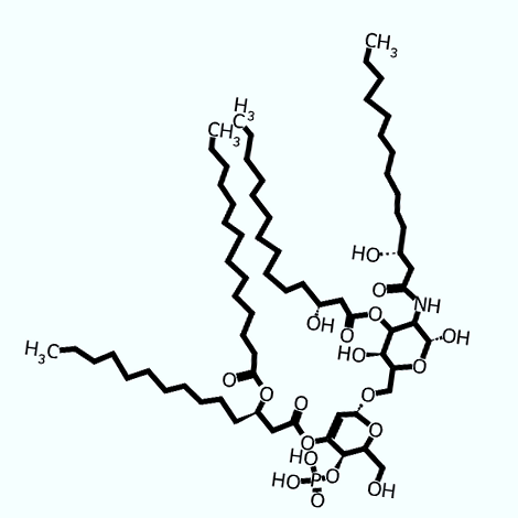 CCCCCCCCCCCCCC(=O)O[C@H](CCCCCCCCCCC)CC(=O)OC1=C[C@H](OCC2O[C@@H](O)C(NC(=O)C[C@H](O)CCCCCCCCCCC)C(OC(=O)C[C@H](O)CCCCCCCCCCC)[C@@H]2O)OC(CO)[C@H]1OP(=O)(O)O